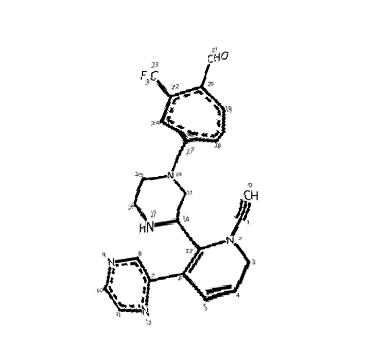 C#CN1CC=CC(c2cnccn2)=C1C1CN(c2ccc(C=O)c(C(F)(F)F)c2)CCN1